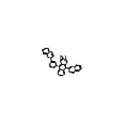 c1cc(-c2ccc3ccccc3c2)cc(-c2c3ccccc3c(-c3ccc4ccccc4c3)c3ccncc23)c1